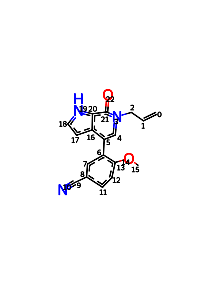 C=CCn1cc(-c2cc(C#N)ccc2OC)c2cc[nH]c2c1=O